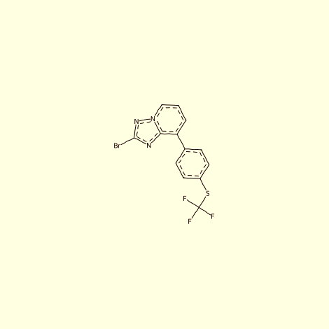 FC(F)(F)Sc1ccc(-c2cccn3nc(Br)nc23)cc1